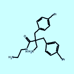 CC(C)c1ccc(CC(CN)(Cc2ccc(C(C)C)cc2)C(=O)NCCN)cc1